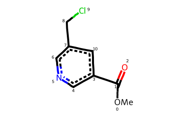 COC(=O)c1cncc(CCl)c1